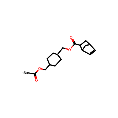 CC(C)(C)C(=O)OCC1CCC(COC(=O)C2CC3C=CC2C3)CC1